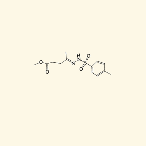 COC(=O)CC/C(C)=N/NS(=O)(=O)c1ccc(C)cc1